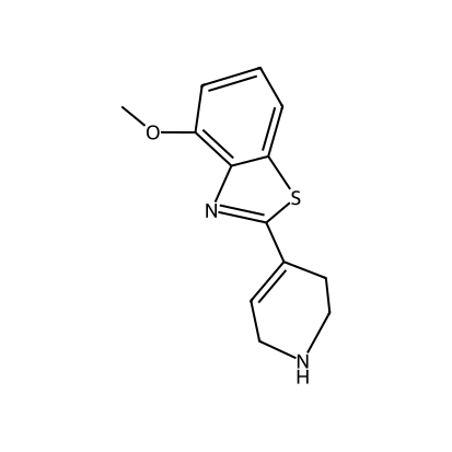 COc1cccc2sc(C3=CCNCC3)nc12